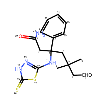 CC(C)(CC=O)CC(CC(N)=O)(Nc1n[nH]c(=S)s1)c1ccccc1